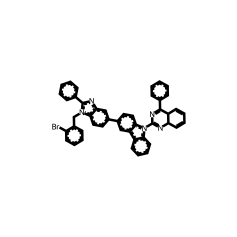 Brc1ccccc1Cn1c(-c2ccccc2)nc2cc(-c3ccc4c(c3)c3ccccc3n4C3=NC4C=CC=CC4C(c4ccccc4)=N3)ccc21